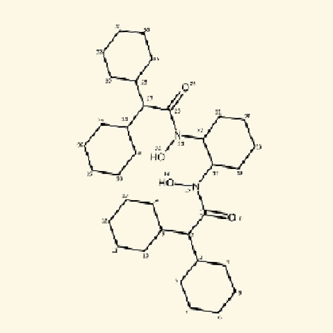 O=C(C(C1CCCCC1)C1CCCCC1)N(O)C1CCCCC1N(O)C(=O)C(C1CCCCC1)C1CCCCC1